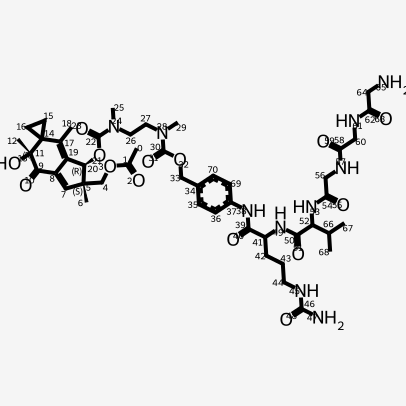 CC(=O)OC[C@]1(C)C=C2C(=O)[C@](C)(O)C3(CC3)C(C)=C2[C@H]1OC(=O)N(C)CCN(C)C(=O)OCc1ccc(NC(=O)C(CCCNC(N)=O)NC(=O)C(NC(=O)CNC(=O)CNC(=O)CN)C(C)C)cc1